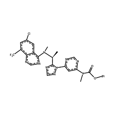 CC(C)OC(=O)N(C)c1cc(-n2ncnc2[C@H](C)N(C)c2ncnc3c(C(F)(F)F)cc(Cl)cc23)ncn1